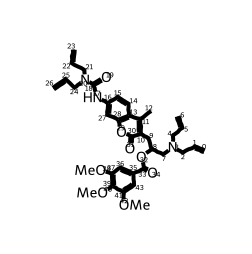 C=CCN(CC=C)CC(Cc1c(C)c2ccc(NC(=O)N(CC=C)CC=C)cc2oc1=O)OC(=O)c1cc(OC)c(OC)c(OC)c1